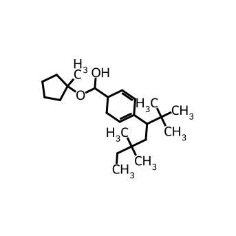 CCC(C)(C)CC(C1=CCC(C(O)OC2(C)CCCC2)C=C1)C(C)(C)C